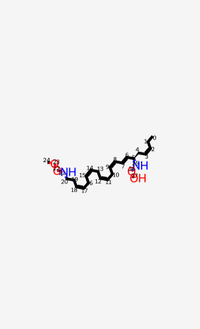 CC/C=C\C[C@H](/C=C/C=C\C/C=C\C/C=C\C/C=C\CCNOOC)NOO